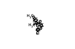 COCc1ncc2c(n1)n(C)c(=O)n2C(=O)N1CC[C@H](Oc2cccc(Cl)c2)C1